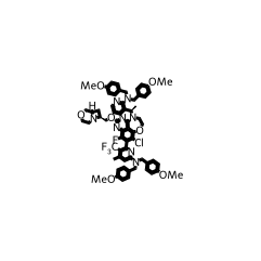 COc1ccc(CN(Cc2ccc(OC)cc2)c2cc(C)c(C(F)(F)F)c(-c3c(Cl)c4c5c(nc(OC[C@@H]6C[C@H]7COCCN76)nc5c3F)N([C@H](C)c3cccnc3N(Cc3ccc(OC)cc3)Cc3ccc(OC)cc3)CCO4)n2)cc1